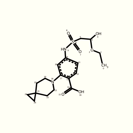 CCOC(O)CS(=O)(=O)Nc1ccc(C(=O)O)c(N2CCC3(CC2)CC3)c1